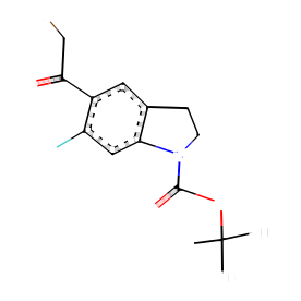 CC(C)(C)OC(=O)N1CCc2cc(C(=O)CBr)c(F)cc21